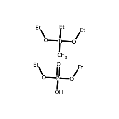 CCOP(=O)(O)OCC.CC[O][Ti]([CH3])([CH2]C)[O]CC